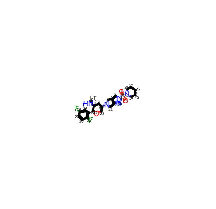 CCN[C@H]1C[C@@H](N2Cc3cn(S(=O)(=O)N4CCCCC4)nc3C2)CO[C@@H]1c1cc(F)ccc1F